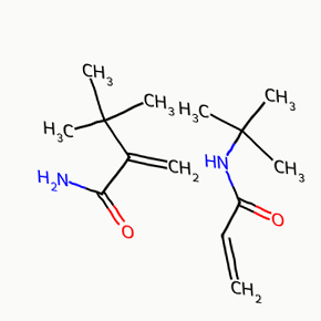 C=C(C(N)=O)C(C)(C)C.C=CC(=O)NC(C)(C)C